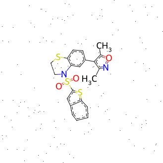 Cc1noc(C)c1-c1ccc2c(c1)N(S(=O)(=O)c1cc3ccccc3s1)CCS2